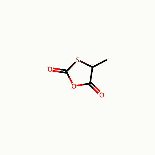 CC1SC(=O)OC1=O